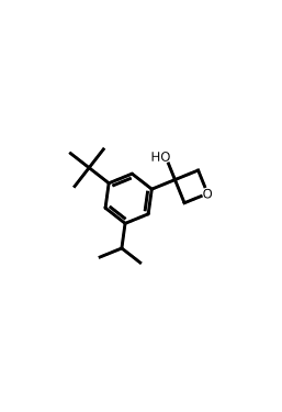 CC(C)c1cc(C(C)(C)C)cc(C2(O)COC2)c1